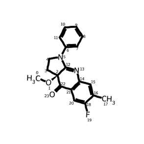 CO[C@@]12CCN(c3ccccc3)C1=Nc1cc(C)c(F)cc1C2=O